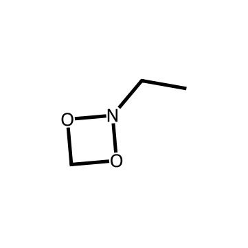 CCN1OCO1